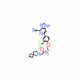 CN(CCOc1ccc(-c2cc3c(ncn3C)c(C#N)n2)cc1C(F)(F)F)C(=O)CN1CCC2(CCC2)C1